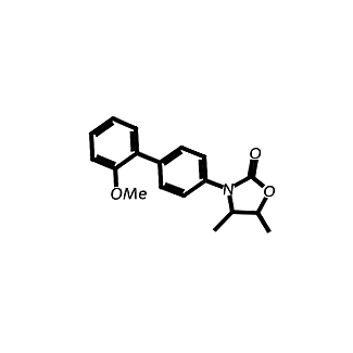 COc1ccccc1-c1ccc(N2C(=O)OC(C)C2C)cc1